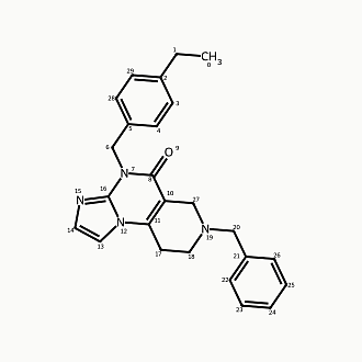 CCc1ccc(Cn2c(=O)c3c(n4ccnc24)CCN(Cc2ccccc2)C3)cc1